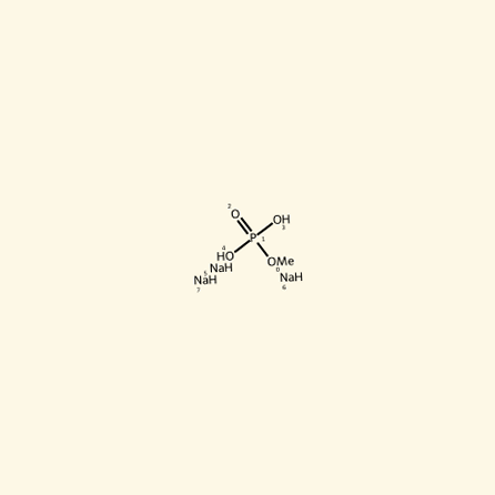 COP(=O)(O)O.[NaH].[NaH].[NaH]